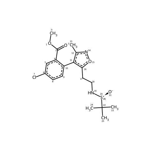 COC(=O)c1cc(Cl)ccc1-c1c(C)noc1CCN[S@@+]([O-])C(C)(C)C